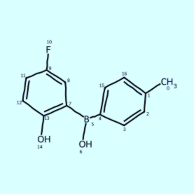 Cc1ccc(B(O)c2cc(F)ccc2O)cc1